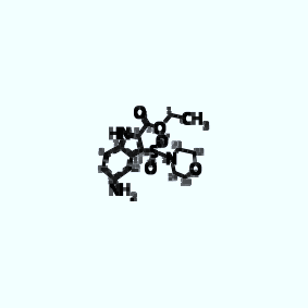 CCOC(=O)c1[nH]c2ccc(N)cc2c1S(=O)(=O)N1CCOCC1